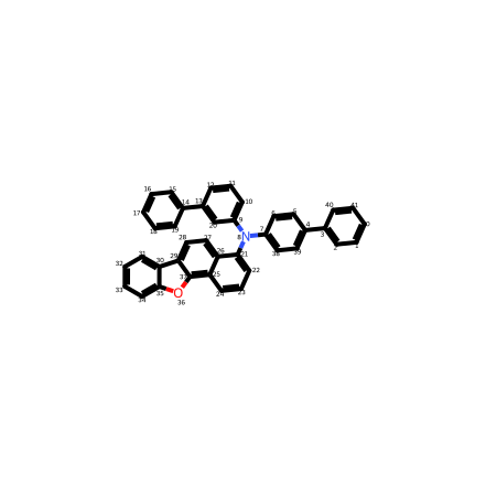 c1ccc(-c2ccc(N(c3cccc(-c4ccccc4)c3)c3cccc4c3ccc3c5ccccc5oc43)cc2)cc1